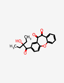 CCC(O)(CC)C(=O)c1ccc2oc3ccccc3c(=O)c(=O)c2c1